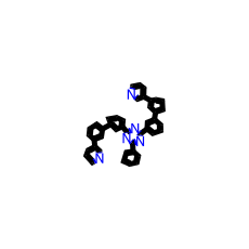 c1ccc(-c2nc(-c3cccc(-c4cccc(-c5cccnc5)c4)c3)nc(-c3cccc(-c4cccc(-c5cccnc5)c4)c3)n2)cc1